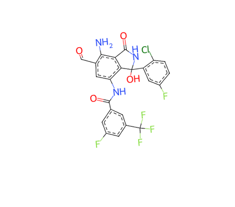 Nc1c(C=O)cc(NC(=O)c2cc(F)cc(C(F)(F)F)c2)c2c1C(=O)NC2(O)c1cc(F)ccc1Cl